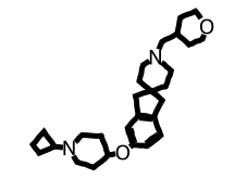 c1cc2c(cc1OC1CCN(C3CCC3)CC1)CC1(CCN(CC3CCOCC3)CC1)C2